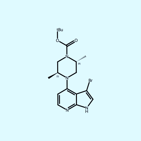 C[C@@H]1CN(c2ccnc3[nH]cc(Br)c23)[C@@H](C)CN1C(=O)OC(C)(C)C